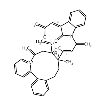 C=NC1(C)CC(=C)[n+]2ccccc2-c2ccccc2CCC1(C)/C(C)=C/C(=C)n1c(=C)/c(=C\C(=C)O)c2ccccc21